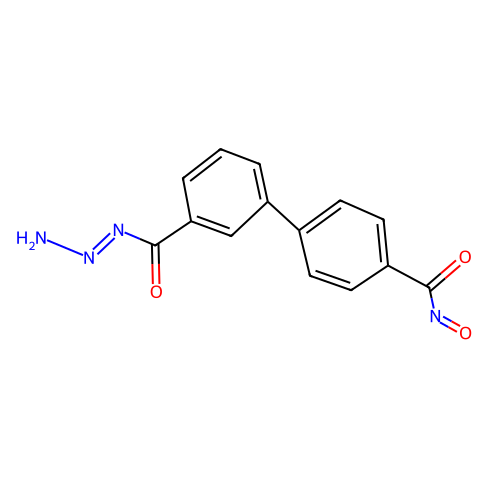 NN=NC(=O)c1cccc(-c2ccc(C(=O)N=O)cc2)c1